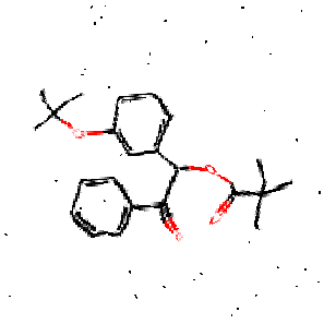 CC(C)(C)Oc1cccc(C(OC(=O)C(C)(C)C)C(=O)c2ccccc2)c1